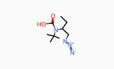 CCC(CN=[N+]=[N-])N(C(=O)O)C(C)(C)C